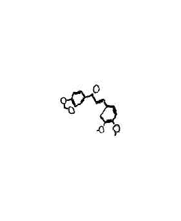 COC1=C(OC)CC(C=CC(=O)c2ccc3c(c2)OCO3)C=C1